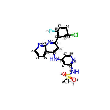 CS(=O)(=O)Nc1cc(Nc2cc(-c3cc(Cl)ccc3F)nc3ncccc23)ccn1